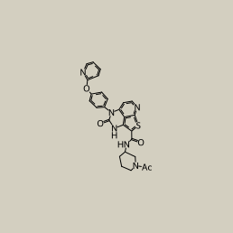 CC(=O)N1CCCC(NC(=O)c2sc3nccc4c3c2NC(=O)N4c2ccc(Oc3ccccn3)cc2)C1